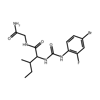 CCC(C)C(NC(=O)Nc1ccc(Br)cc1F)C(=O)NCC(N)=O